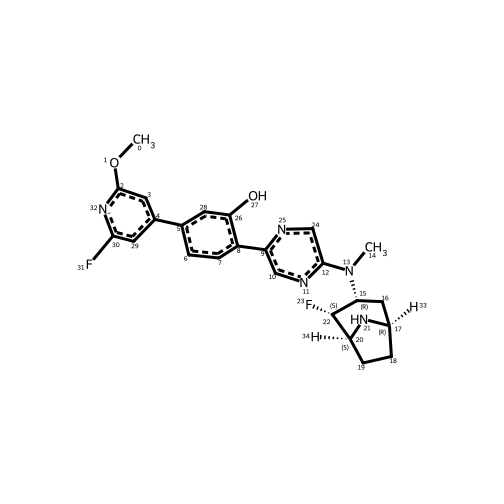 COc1cc(-c2ccc(-c3cnc(N(C)[C@@H]4C[C@H]5CC[C@H](N5)[C@@H]4F)cn3)c(O)c2)cc(F)n1